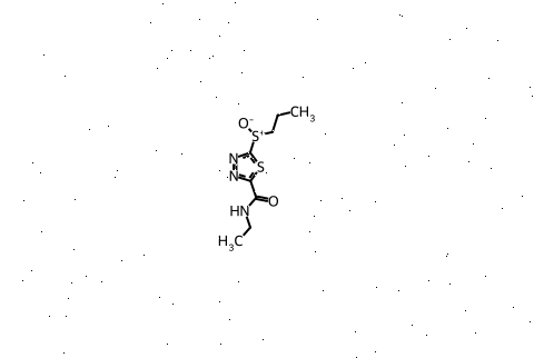 CCC[S+]([O-])c1nnc(C(=O)NCC)s1